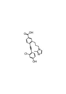 Cc1nccn1CCCc1cc(C(=O)O)ccc1C#Cc1ccc(O)cc1Cl